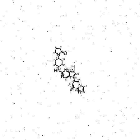 O=C1CCCN1C1CCC(Nc2ncc3c(-c4cc(F)c5nccn5c4)c[nH]c3n2)CC1